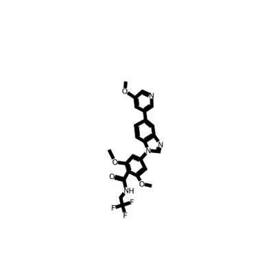 COc1cncc(-c2ccc3c(c2)ncn3-c2cc(OC)c(C(=O)NCC(F)(F)F)c(OC)c2)c1